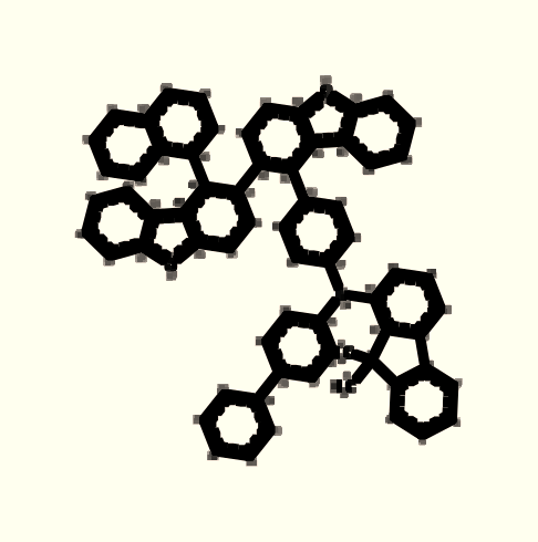 CC1(C)c2ccccc2-c2cccc(N(c3ccc(-c4ccccc4)cc3)c3ccc(-c4c(-c5ccc6oc7ccccc7c6c5-c5cccc6ccccc56)ccc5oc6ccccc6c45)cc3)c21